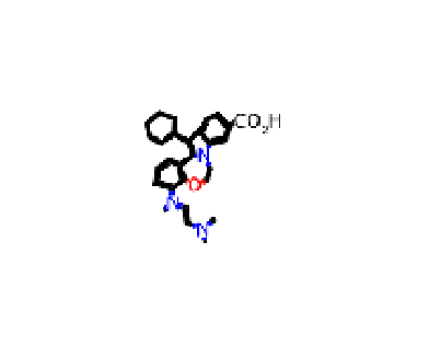 CN(C)CCN(C)c1cccc2c1OCCn1c-2c(C2CCCCC2)c2ccc(C(=O)O)cc21